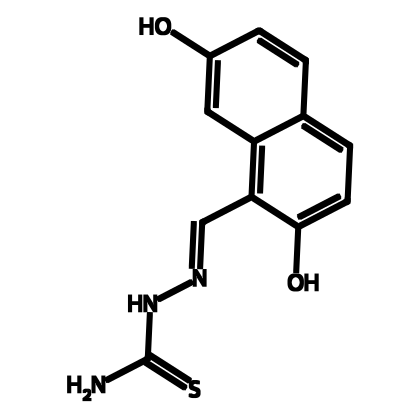 NC(=S)NN=Cc1c(O)ccc2ccc(O)cc12